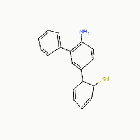 Nc1ccc(C2C=CC=CC2S)cc1-c1ccccc1